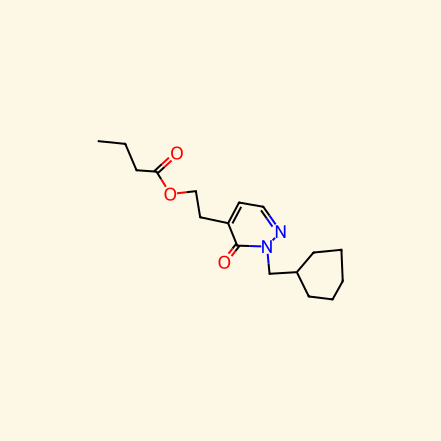 CCCC(=O)OCCc1ccnn(CC2CCCCC2)c1=O